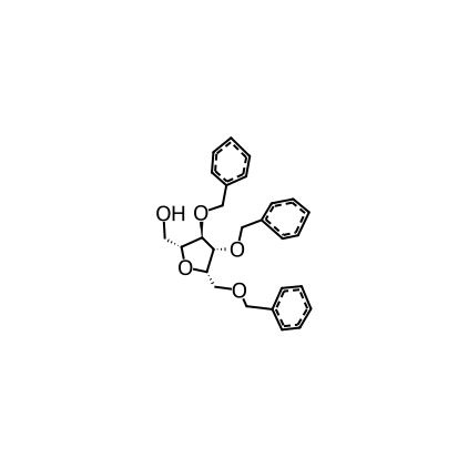 OC[C@H]1O[C@@H](COCc2ccccc2)[C@@H](OCc2ccccc2)[C@@H]1OCc1ccccc1